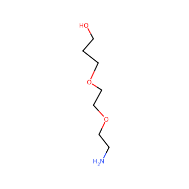 NCCOCCOCCCO